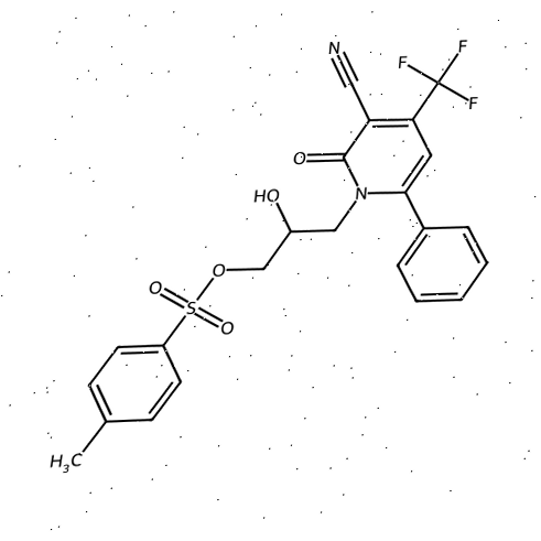 Cc1ccc(S(=O)(=O)OCC(O)Cn2c(-c3ccccc3)cc(C(F)(F)F)c(C#N)c2=O)cc1